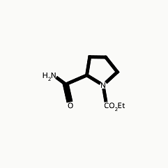 CCOC(=O)N1CCCC1C(N)=O